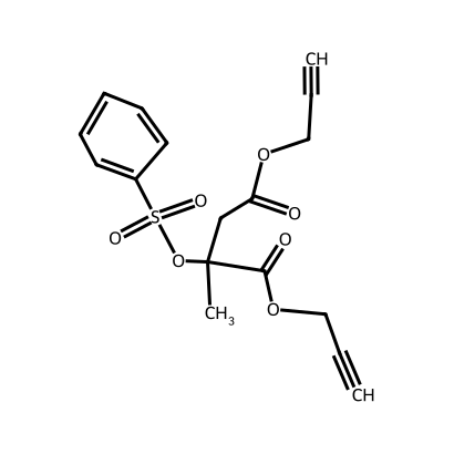 C#CCOC(=O)CC(C)(OS(=O)(=O)c1ccccc1)C(=O)OCC#C